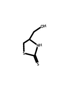 OCC1CSC(=S)N1